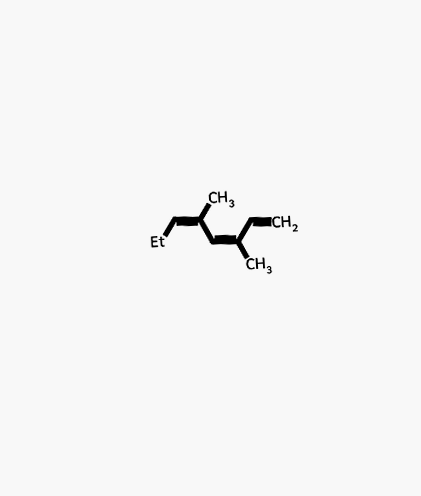 C=C/C(C)=C\C(C)=C/CC